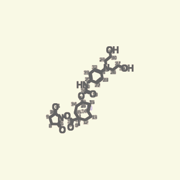 C[C@]1(C(=O)ON2C(=O)CCC2=O)CC/C=C/[C@@H](OC(=O)Nc2ccc(N(CCO)CCO)cc2)CC1